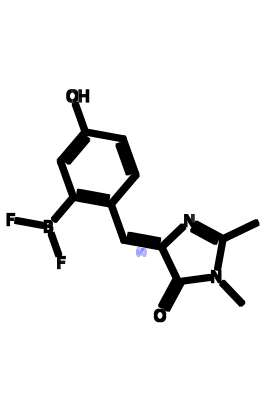 CC1=N/C(=C\c2ccc(O)cc2B(F)F)C(=O)N1C